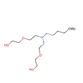 COCCCCN(CCOCCO)CCOCCO